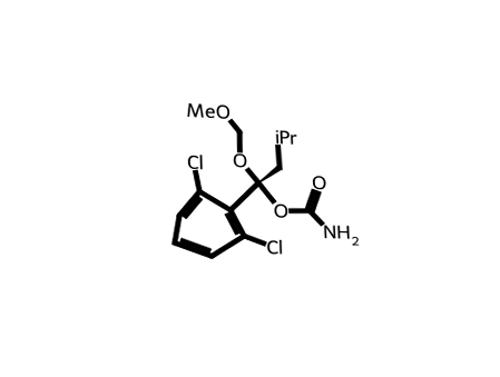 COCO[C@](CC(C)C)(OC(N)=O)c1c(Cl)cccc1Cl